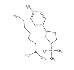 CCCCCCN(C)C.C[N+](C)(C)C1CCN(c2ccc(N)cc2)C1